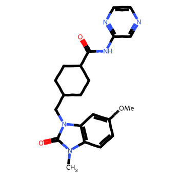 COc1ccc2c(c1)n(CC1CCC(C(=O)Nc3cnccn3)CC1)c(=O)n2C